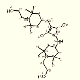 CC1(C)CC(Nc2c([O-])[c+](NC3CC(C)(C)N(CCO)C(C)(C)C3)[c+]2[O-])CC(C)(C)N1CCO